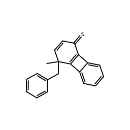 CC1(Cc2ccccc2)C=CC(=S)C2=C1c1ccccc12